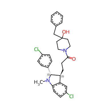 CN1c2ccc(Cl)cc2[C@H](CCC(=O)N2CCC(O)(Cc3ccccc3)CC2)[C@H]1c1ccc(Cl)cc1